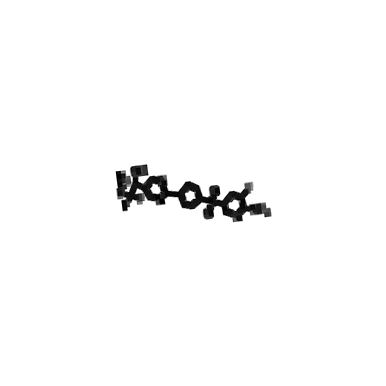 C[C@](O)(c1cnc(-c2ccc(S(=O)(=O)c3cnc(N)c(F)c3)cc2)nc1)C(F)(F)F